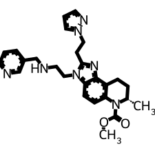 COC(=O)N1c2ccc3c(nc(CCn4cccn4)n3CCNCc3cccnc3)c2CC[C@@H]1C